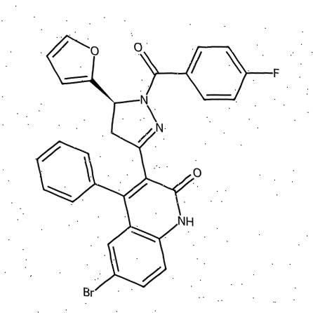 O=C(c1ccc(F)cc1)N1N=C(c2c(-c3ccccc3)c3cc(Br)ccc3[nH]c2=O)C[C@H]1c1ccco1